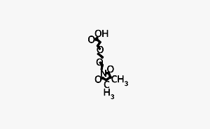 CC1C(=O)N(CCOCCOCCC(=O)O)C(=O)C1C